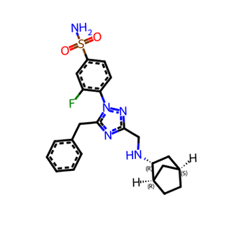 NS(=O)(=O)c1ccc(-n2nc(CN[C@@H]3C[C@H]4CC[C@@H]3C4)nc2Cc2ccccc2)c(F)c1